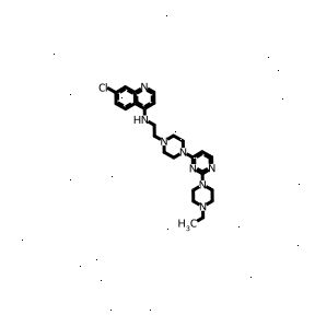 CCN1CCN(c2nccc(N3CCN(CCNc4ccnc5cc(Cl)ccc45)CC3)n2)CC1